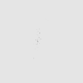 C=CCCCc1ccc(C(=O)Oc2cnc(-c3ccc(OCCCCC[C@@H](C)CC)cc3)cn2)cc1